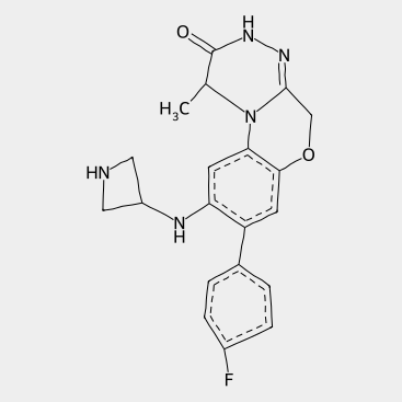 CC1C(=O)NN=C2COc3cc(-c4ccc(F)cc4)c(NC4CNC4)cc3N21